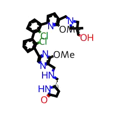 COc1nc(-c2cccc(-c3cccc(-c4cnc(CNC[C@@H]5CCC(=O)N5)c(OC)n4)c3Cl)c2Cl)ccc1CN1CC(C)(CO)C1